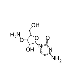 NOC1C(O)[C@H](n2ccc(N)nc2=O)O[C@@H]1CO